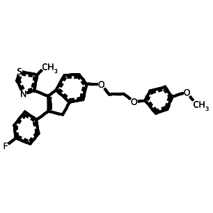 COc1ccc(OCCOc2ccc3c(c2)CC(c2ccc(F)cc2)=C3c2ncsc2C)cc1